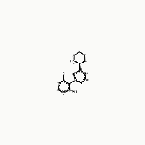 Clc1cccc(Cl)c1-c1c[c]cc(C2CCCCN2)c1